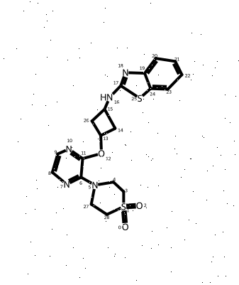 O=S1(=O)CCN(c2nccnc2OC2CC(Nc3nc4ccccc4s3)C2)CC1